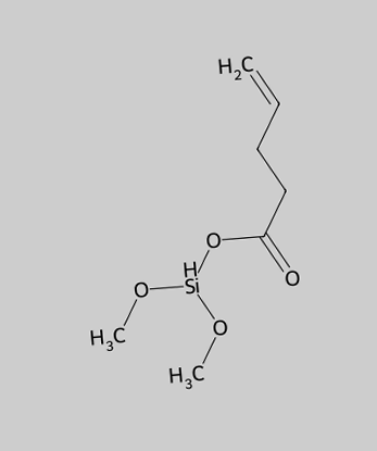 C=CCCC(=O)O[SiH](OC)OC